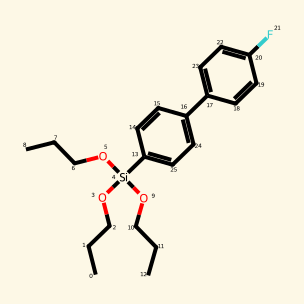 CCCO[Si](OCCC)(OCCC)c1ccc(-c2ccc(F)cc2)cc1